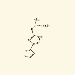 CCCCC(Sc1nc(-c2ccsc2)c[nH]1)C(=O)O